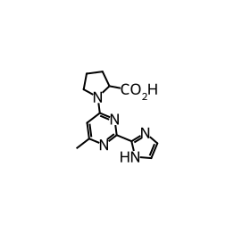 Cc1cc(N2CCCC2C(=O)O)nc(-c2ncc[nH]2)n1